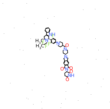 C[C@@H]1Cc2c([nH]c3ccccc23)[C@@H](c2c(F)cc(N3CCC(C(=O)N4CCC(N5Cc6cc7c(cc6C5)C(=O)N(C5CCC(=O)NC5=O)C7=O)CC4)CC3)cc2F)N1CC(C)(F)F